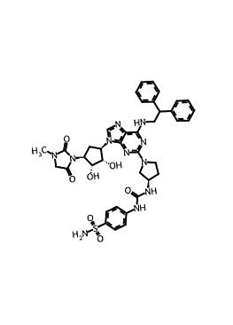 CN1CC(=O)N([C@H]2C[C@@H](n3cnc4c(NCC(c5ccccc5)c5ccccc5)nc(N5CC[C@@H](NC(=O)Nc6ccc(S(N)(=O)=O)cc6)C5)nc43)[C@H](O)[C@@H]2O)C1=O